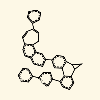 C1=Cc2ccc3ccc(-c4ccc5c(c4)-c4c(-c6ccc(-c7cccnc7)cc6)cccc4C4CC54)cc3c2CC=C1c1ccccc1